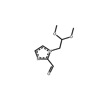 COC(Cn1ccnc1C=O)OC